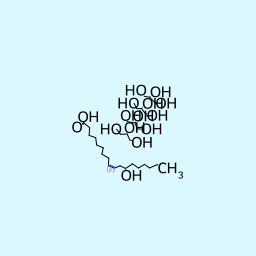 CCCCCCC(O)C/C=C\CCCCCCCC(=O)O.OCC(O)CO.OCC(O)CO.OCC(O)CO.OCC(O)CO